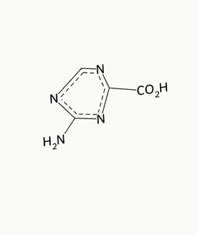 Nc1ncnc(C(=O)O)n1